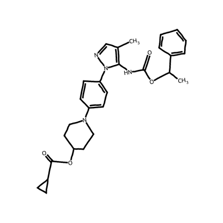 Cc1cnn(-c2ccc(N3CCC(OC(=O)C4CC4)CC3)cc2)c1NC(=O)OC(C)c1ccccc1